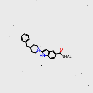 CC(=O)NC(=O)c1ccc2[nH]c(N3CCC(Cc4ccccc4)CC3)cc2c1